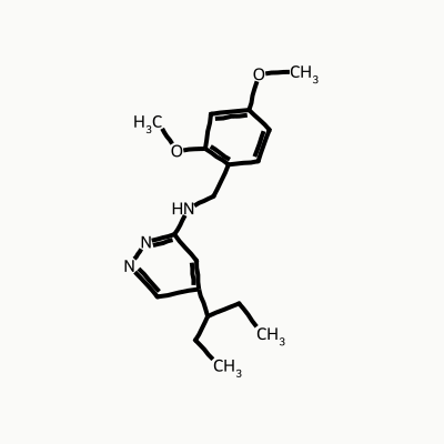 CCC(CC)c1cnnc(NCc2ccc(OC)cc2OC)c1